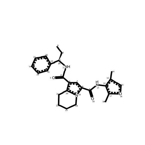 CC[C@@H](NC(=O)c1cc(C(=O)Nc2c(C)coc2C)n2c1CCCC2)c1ccccc1